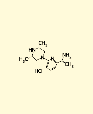 C[C@@H]1CN(c2cccc([C@H](C)N)n2)C[C@H](C)N1.Cl